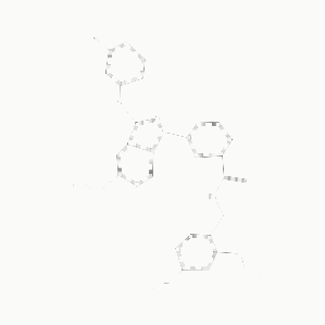 COc1ccc(CNC(=O)c2cccc(-n3nc(Nc4cccc(Cl)c4)c4cc(OC)ccc43)c2)c(OC)c1